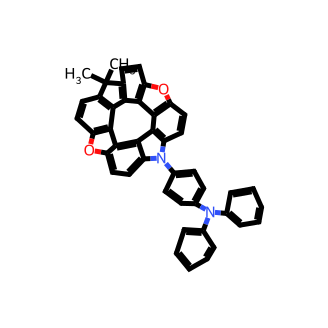 CC1(C)c2ccc3oc4ccc5c6c4c3c2c2c1ccc1oc3ccc(c6c3c12)n5-c1ccc(N(c2ccccc2)c2ccccc2)cc1